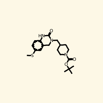 CSc1ccc2c(c1)CN(CC1CCN(C(=O)OC(C)(C)C)CC1)C(=O)N2